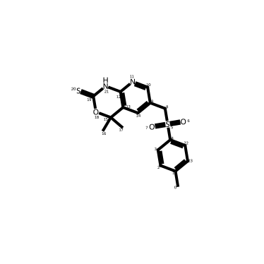 Cc1ccc(S(=O)(=O)Cc2cnc3c(c2)C(C)(C)OC(=S)N3)cc1